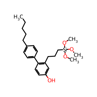 CCCCCc1ccc(-c2ccc(O)cc2CCC[Si](OC)(OC)OC)cc1